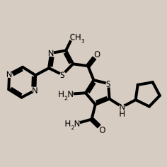 Cc1nc(-c2cnccn2)sc1C(=O)c1sc(NC2CCCC2)c(C(N)=O)c1N